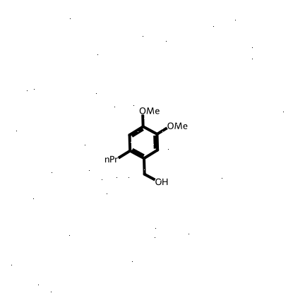 CCCc1cc(OC)c(OC)cc1CO